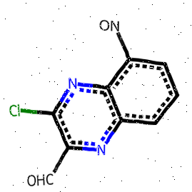 O=Cc1nc2cccc(N=O)c2nc1Cl